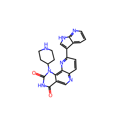 O=c1[nH]c(=O)n(C2CCNCC2)c2c1cnc1ccc(-c3c[nH]c4ncccc34)nc12